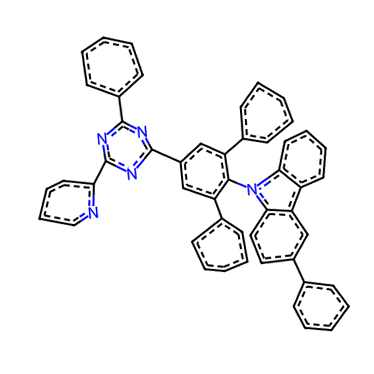 c1ccc(-c2ccc3c(c2)c2ccccc2n3-c2c(-c3ccccc3)cc(-c3nc(-c4ccccc4)nc(-c4ccccn4)n3)cc2-c2ccccc2)cc1